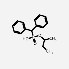 CCC(C)OP(=O)(O)C(c1ccccc1)c1ccccc1